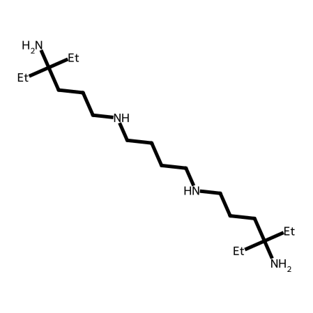 CCC(N)(CC)CCCNCCCCNCCCC(N)(CC)CC